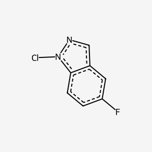 Fc1ccc2c(cnn2Cl)c1